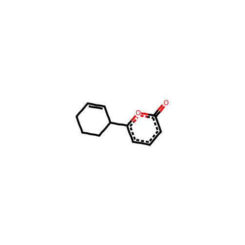 O=c1cccc(C2C=CCCC2)o1